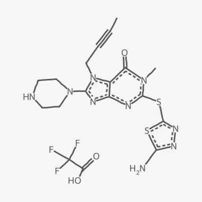 CC#CCn1c(N2CCNCC2)nc2nc(Sc3nnc(N)s3)n(C)c(=O)c21.O=C(O)C(F)(F)F